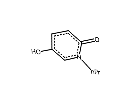 CCCn1cc(O)ccc1=O